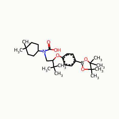 CC1(C)CCC(N(CC(Oc2ccc(B3OC(C)(C)C(C)(C)O3)cc2)C(C)(C)C)C(=O)O)CC1